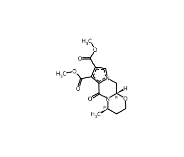 COC(=O)c1cn2c(c1C(=O)OC)C(=O)N1[C@H](C)CCO[C@H]1C2